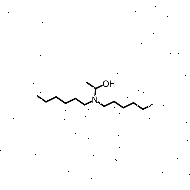 CCCCCCN(CCCCCC)C(C)O